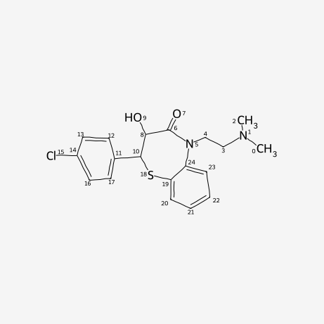 CN(C)CCN1C(=O)C(O)C(c2ccc(Cl)cc2)Sc2ccccc21